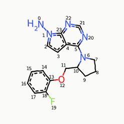 Nn1ccc2c(N3CCCC3COc3ccccc3F)ncnc21